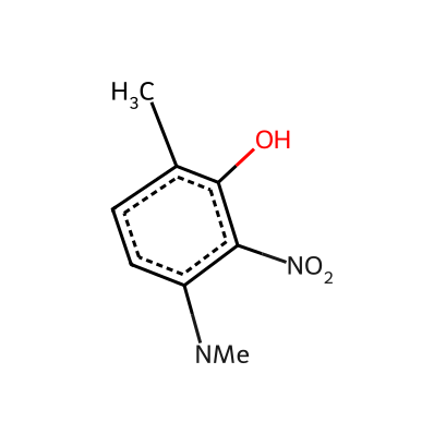 CNc1ccc(C)c(O)c1[N+](=O)[O-]